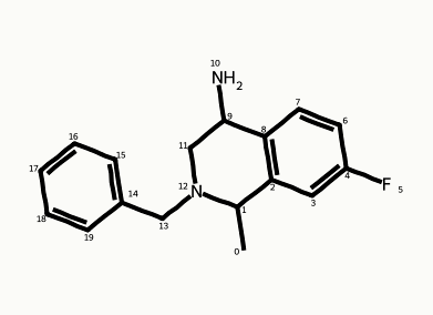 CC1c2cc(F)ccc2C(N)CN1Cc1ccccc1